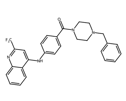 O=C(c1ccc(Nc2cc(C(F)(F)F)nc3ccccc23)cc1)N1CCN(Cc2ccccc2)CC1